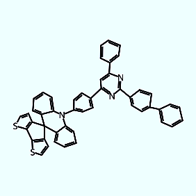 c1ccc(-c2ccc(-c3nc(-c4ccccc4)cc(-c4ccc(N5c6ccccc6C6(c7ccccc75)c5ccsc5-c5sccc56)cc4)n3)cc2)cc1